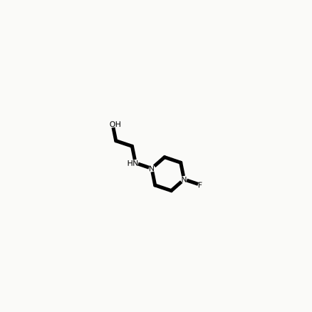 OCCNN1CCN(F)CC1